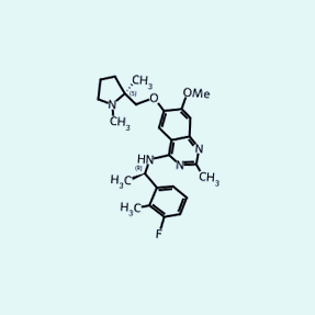 COc1cc2nc(C)nc(N[C@H](C)c3cccc(F)c3C)c2cc1OC[C@]1(C)CCCN1C